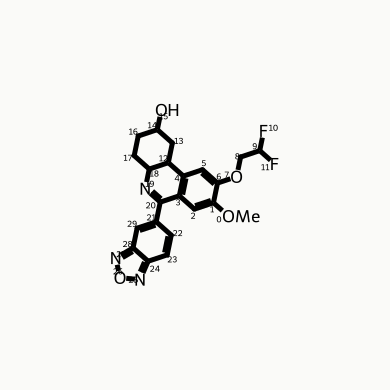 COc1cc2c(cc1OCC(F)F)C1CC(O)CCC1N=C2c1ccc2nonc2c1